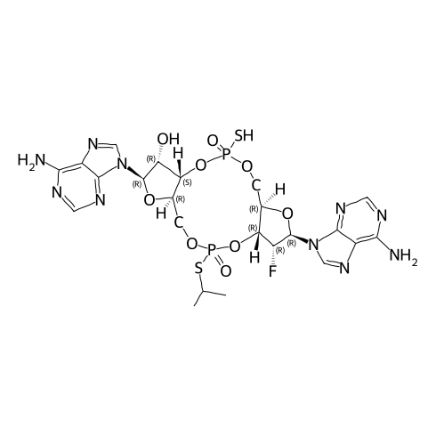 CC(C)SP1(=O)OC[C@H]2O[C@@H](n3cnc4c(N)ncnc43)[C@H](O)[C@@H]2OP(=O)(S)OC[C@H]2O[C@@H](n3cnc4c(N)ncnc43)[C@H](F)[C@@H]2O1